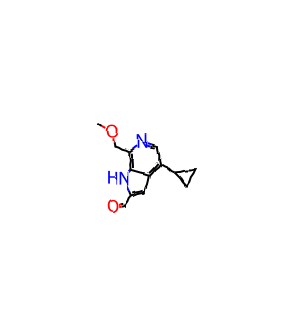 COCc1ncc(C2CC2)c2cc(C=O)[nH]c12